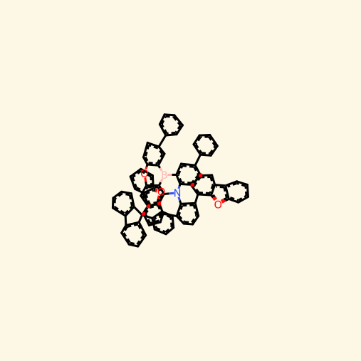 c1ccc(-c2ccc3c(c2)B2c4cc(-c5ccccc5)ccc4N(c4c(-c5cccc6c5oc5ccccc56)cccc4-c4cccc5c4oc4ccccc45)c4cc(C5(c6ccccc6)c6ccccc6-c6ccccc65)cc(c42)O3)cc1